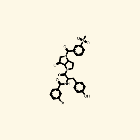 CS(=O)(=O)c1cccc(C(=O)N2CC(=O)C3C2CCN3C(=O)C(Cc2ccc(O)cc2)NC(=O)c2cccc(Br)c2)c1